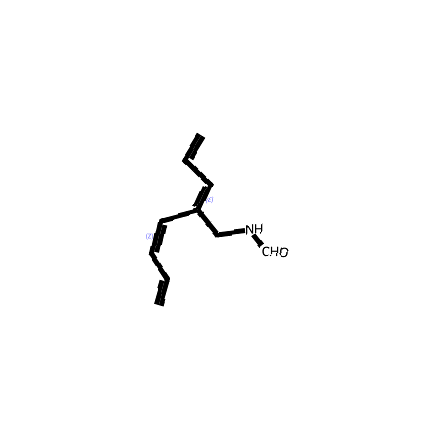 C=C/C=C\C(=C/C=C)CNC=O